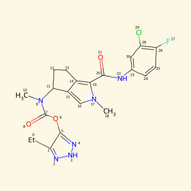 CCc1n[nH]nc1OC(=O)N(C)C1CCc2c1cn(C)c2C(=O)Nc1ccc(F)c(Cl)c1